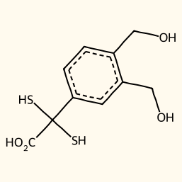 O=C(O)C(S)(S)c1ccc(CO)c(CO)c1